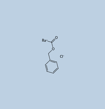 O=[C]([Ba+])OCc1ccccc1.[Cl-]